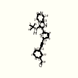 CC(C)(C)Nc1c(-c2ccc(C#Cc3cccc(C=O)c3)s2)nc2cnccn12